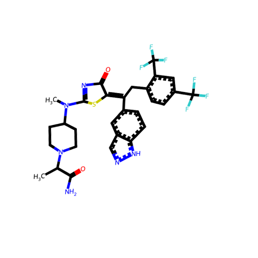 CC(C(N)=O)N1CCC(N(C)C2=NC(=O)C(=C(Cc3ccc(C(F)(F)F)cc3C(F)(F)F)c3ccc4[nH]ncc4c3)S2)CC1